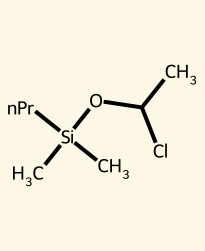 CCC[Si](C)(C)OC(C)Cl